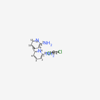 Nc1ccccn1.Nc1ccccn1.[Cl][Pt][Cl]